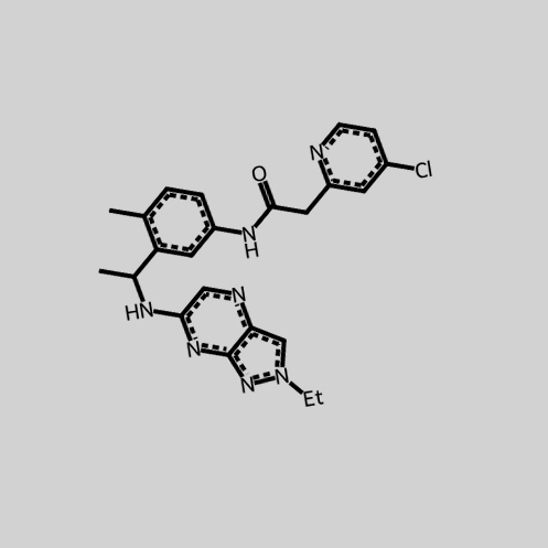 CCn1cc2ncc(NC(C)c3cc(NC(=O)Cc4cc(Cl)ccn4)ccc3C)nc2n1